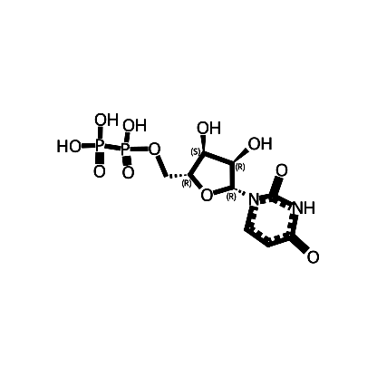 O=c1ccn([C@@H]2O[C@H](COP(=O)(O)P(=O)(O)O)[C@@H](O)[C@H]2O)c(=O)[nH]1